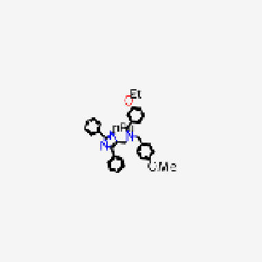 CCCCn1c(-c2ccccc2)nc(-c2ccccc2)c1CN(Cc1ccc(OC)cc1)Cc1cccc(OCC)c1